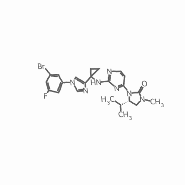 CC(C)[C@H]1CN(C)C(=O)N1c1ccnc(NC2(c3cn(-c4cc(F)cc(Br)c4)cn3)CC2)n1